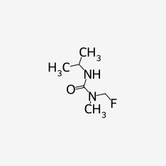 CC(C)NC(=O)N(C)CF